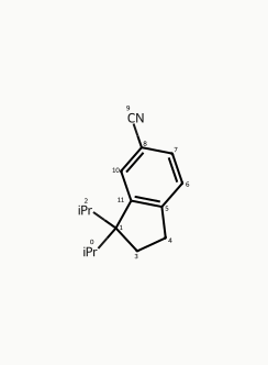 CC(C)C1(C(C)C)CCc2ccc(C#N)cc21